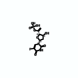 C=C(OP(=O)(O)O)[C@H]1O[C@@H](n2cc(F)c(=O)[nH]c2=O)C[C@@H]1O